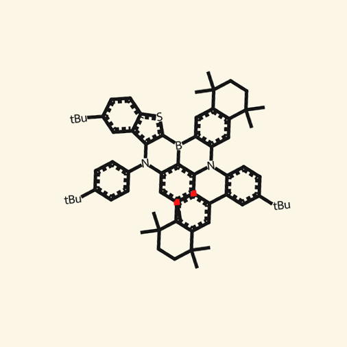 Cc1cc2c3c(c1)N(c1ccc(C(C)(C)C)cc1)c1c(sc4ccc(C(C)(C)C)cc14)B3c1cc3c(cc1N2c1ccc(C(C)(C)C)cc1-c1ccc2c(c1)C(C)(C)CCC2(C)C)C(C)(C)CCC3(C)C